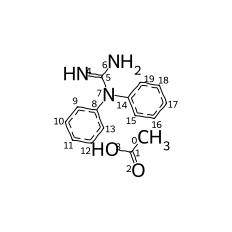 CC(=O)O.N=C(N)N(c1ccccc1)c1ccccc1